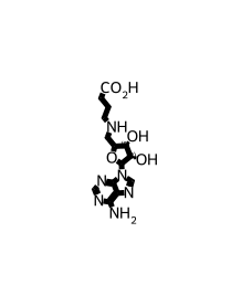 Nc1ncnc2c1ncn2C1OC(CNCCCC(=O)O)[C@@H](O)[C@H]1O